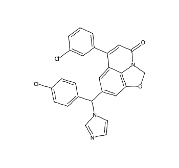 O=c1cc(-c2cccc(Cl)c2)c2cc(C(c3ccc(Cl)cc3)n3ccnc3)cc3c2n1CO3